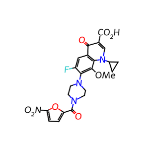 COc1c(N2CCN(C(=O)c3ccc([N+](=O)[O-])o3)CC2)c(F)cc2c(=O)c(C(=O)O)cn(C3CC3)c12